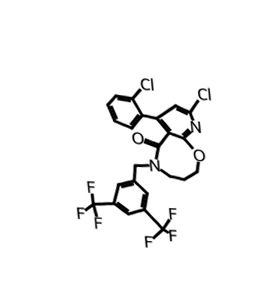 O=C1c2c(-c3ccccc3Cl)cc(Cl)nc2OCCCN1Cc1cc(C(F)(F)F)cc(C(F)(F)F)c1